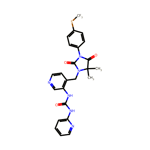 CC1(C)C(=O)N(c2ccc(SC(F)(F)F)cc2)C(=O)N1Cc1ccncc1NC(=O)Nc1ccccn1